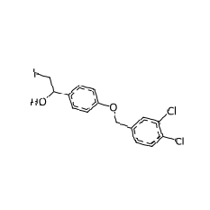 OC(CI)c1ccc(OCc2ccc(Cl)c(Cl)c2)cc1